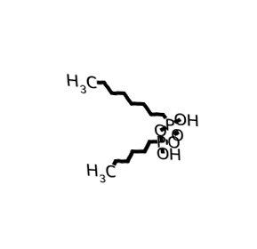 CCCCCCCCP(=O)(O)OP(=O)(O)CCCCCC